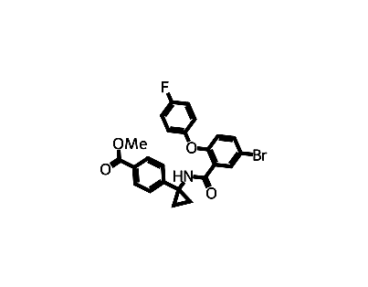 COC(=O)c1ccc(C2(NC(=O)c3cc(Br)ccc3Oc3ccc(F)cc3)CC2)cc1